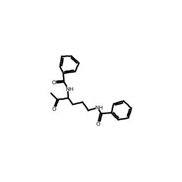 CC(=O)C(CCCNC(=O)c1ccccc1)NC(=O)c1ccccc1